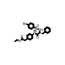 CCOC(=O)Cc1ccc(NC(=O)[C@H](Cc2ccccc2)NS(=O)(=O)c2ccc(Br)cc2)cc1